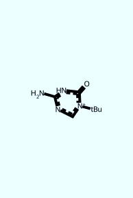 CC(C)(C)[n+]1cnc(N)[nH]c1=O